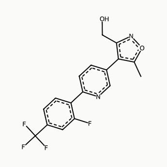 Cc1onc(CO)c1-c1ccc(-c2ccc(C(F)(F)F)cc2F)nc1